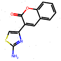 Nc1nc(-c2cc3ccccc3oc2=O)cs1